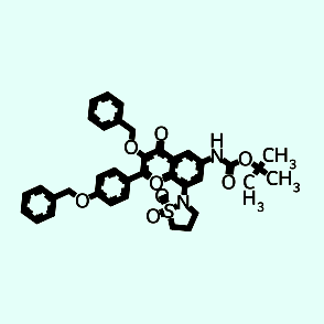 CC(C)(C)OC(=O)Nc1cc(N2CCCS2(=O)=O)c2oc(-c3ccc(OCc4ccccc4)cc3)c(OCc3ccccc3)c(=O)c2c1